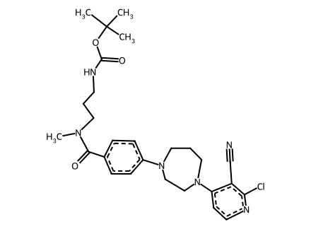 CN(CCCNC(=O)OC(C)(C)C)C(=O)c1ccc(N2CCCN(c3ccnc(Cl)c3C#N)CC2)cc1